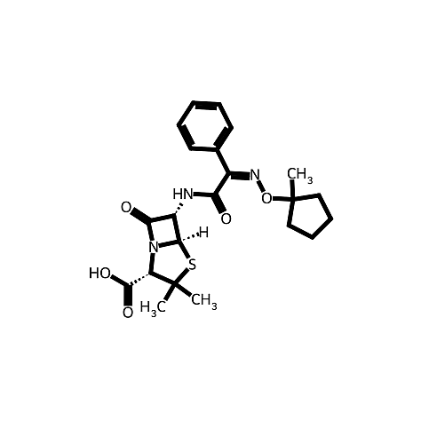 CC1(O/N=C(\C(=O)N[C@H]2C(=O)N3[C@@H]2SC(C)(C)[C@@H]3C(=O)O)c2ccccc2)CCCC1